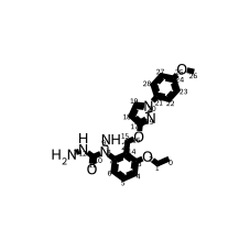 CCOc1cccc(N(N)C(=O)NN)c1COc1ccn(-c2ccc(OC)cc2)n1